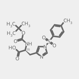 Cc1ccc(S(=O)(=O)n2cnc(C[C@H](NC(=O)OC(C)(C)C)C(=O)O)c2)cc1